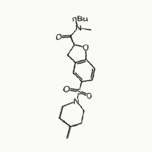 CCCCN(C)C(=O)C1Cc2cc(S(=O)(=O)N3CCC(C)CC3)ccc2O1